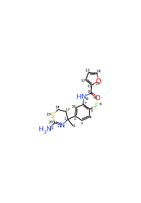 CC1(c2ccc(F)c(NC(=O)c3ccco3)c2)CCSC(N)=N1